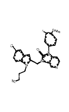 COc1ccc(-n2c(=O)n(Cc3cc4cc(Cl)ccc4n3CCCC#N)c3cnccc32)cc1F